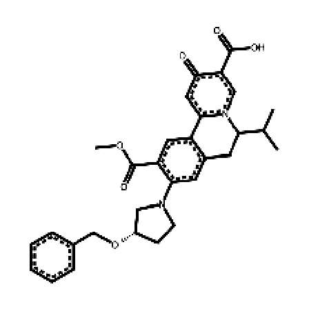 COC(=O)c1cc2c(cc1N1CC[C@H](OCc3ccccc3)C1)CC(C(C)C)n1cc(C(=O)O)c(=O)cc1-2